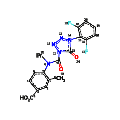 Cc1cc(C(=O)O)ccc1N(C(=O)n1nnn(-c2c(F)cccc2F)c1=O)C(C)C